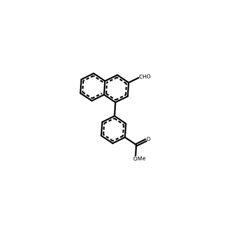 COC(=O)c1cccc(-c2cc(C=O)cc3ccccc23)c1